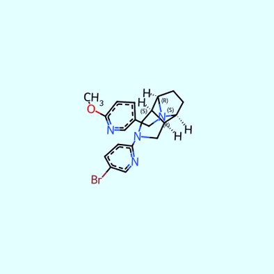 COc1ccc(CN2[C@@H]3CC[C@H]2[C@H]2CN(c4ccc(Br)cn4)C[C@H]23)cn1